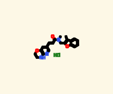 Cc1c(CN(C)C(=O)C=Cc2cnc3c(c2)OCCN3)oc2ccccc12.Cl